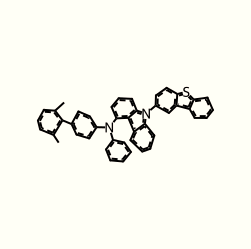 Cc1cccc(C)c1-c1ccc(N(c2ccccc2)c2cccc3c2c2ccccc2n3-c2ccc3sc4ccccc4c3c2)cc1